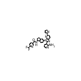 Nc1ncccc1-c1nc2ccc(-n3cccn3)nc2n1-c1ccc2c(c1)CC[C@@H]2NC(=O)c1ccc(C(F)F)nc1